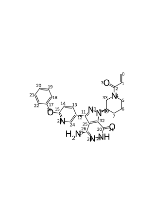 C=CC(=O)N1CCC[C@@H](n2nc(-c3ccc(Oc4ccccc4)nc3)c3c(N)n[nH]c(=O)c32)C1